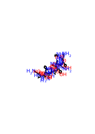 CC[C@H](C)[C@H](N)C(=O)NCC(=O)N[C@@H](CCCCN)C(=O)N[C@@H](Cc1ccc(O)cc1)C(=O)N[C@@H](CCCCN)C(=O)N[C@@H](CC(C)C)C(=O)N[C@@H](CCC(N)=O)C(=O)N[C@@H](Cc1ccc(O)cc1)C(=O)N[C@@H](CC(C)C)C(=O)N[C@@H](CCC(=O)O)C(=O)N[C@@H](CCC(N)=O)C(=O)N[C@@H](Cc1c[nH]c2ccccc12)C(=O)N[C@H](C(=O)N[C@@H](CC(C)C)C(=O)N[C@@H](CCCCN)C(=O)O)[C@@H](C)O